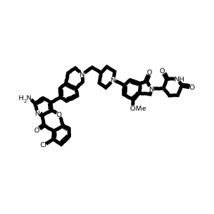 COc1cc(N2CCC(CN3CCc4cc(-c5cc(N)nc6c(=O)c7c(Cl)cccc7oc56)ccc4C3)CC2)cc2c1CN(C1CCC(=O)NC1=O)C2=O